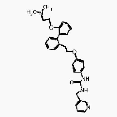 CN(C)CCOc1ccccc1-c1ccccc1CCOc1ccc(NC(=O)NCc2cccnc2)cc1